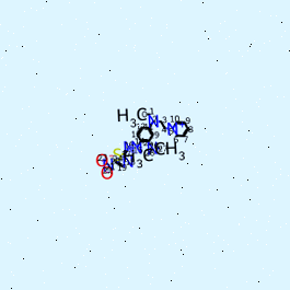 CCN(CC[n+]1ccccc1)c1ccc(/N=N/c2ncc([N+](=O)[O-])s2)c(N(C)C)c1